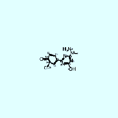 CN(N)c1nc(O)nc(-c2ccc(Cl)c(Cl)c2)n1